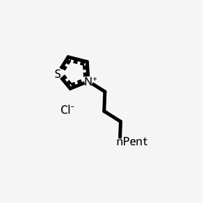 CCCCCCCC[n+]1ccsc1.[Cl-]